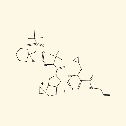 C=CCNC(=O)C(=O)C(CC1CC1)NC(=O)[C@@H]1[C@H]2CCC3(CC3)[C@H]2CN1C(=O)[C@@H](NC(=O)NC1(CS(=O)(=O)C(C)(C)C)CCCCC1)C(C)(C)C